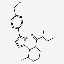 CCC(C)C(=O)N1CCCC(O)C1c1ncc(-c2ccc(CO)cc2)[nH]1